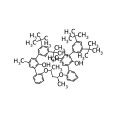 Cc1cc(-c2cc(C(C)(C)C)cc(C(C)(C)C)c2)c(O)c(-c2ccccc2OC(C)C[C@H](C)Oc2ccccc2-c2cc(C)cc(-c3cc(C(C)(C)C)cc(C(C)(C)C)c3)c2O)c1